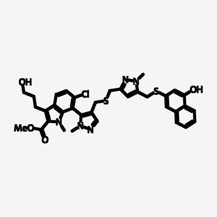 COC(=O)c1c(CCCO)c2ccc(Cl)c(-c3c(CSCc4cc(CSc5cc(O)c6ccccc6c5)n(C)n4)cnn3C)c2n1C